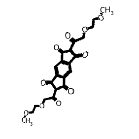 COCCOCC(=O)C1C(=O)c2cc3c(cc2C1=O)C(=O)C(C(=O)COCCOC)C3=O